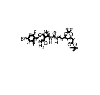 CC(C)(C)OC(=O)CC1CC(CCNC(=O)Nc2snc(OCc3c(F)cc(Br)cc3F)c2C(N)=O)OC(C)(C)O1